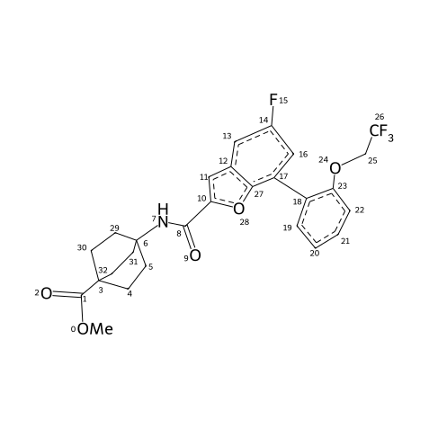 COC(=O)C12CCC(NC(=O)c3cc4cc(F)cc(-c5ccccc5OCC(F)(F)F)c4o3)(CC1)CC2